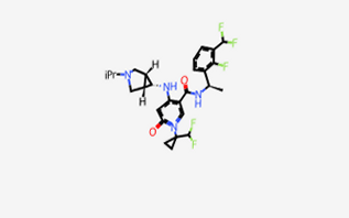 CC(C)N1C[C@@H]2[C@H](C1)[C@@H]2Nc1cc(=O)n(C2(C(F)F)CC2)cc1C(=O)N[C@H](C)c1cccc(C(F)F)c1F